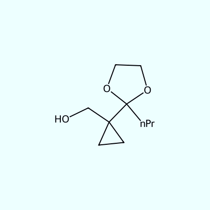 CCCC1(C2(CO)CC2)OCCO1